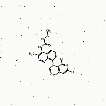 CCNC(=O)Nc1c(C)cnc2c(N(C=O)c3c(Cl)cc(C)nc3Cl)cccc12